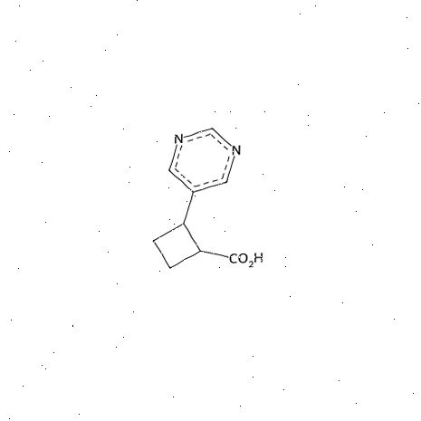 O=C(O)C1CCC1c1cncnc1